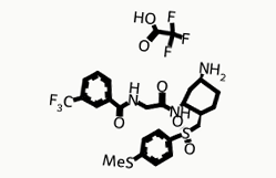 CSc1ccc(S(=O)(=O)C[C@@H]2CC[C@H](N)C[C@@H]2NC(=O)CNC(=O)c2cccc(C(F)(F)F)c2)cc1.O=C(O)C(F)(F)F